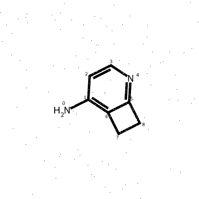 Nc1ccnc2c1CC2